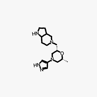 C[C@@H]1CN(c2cn[nH]c2)C[C@H](CN2CCC3NCCC3C2)O1